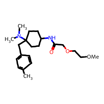 COCCOCC(=O)NC1CCC(Cc2ccc(C)cc2)(N(C)C)CC1